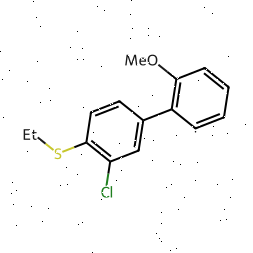 CCSc1ccc(-c2[c]cccc2OC)cc1Cl